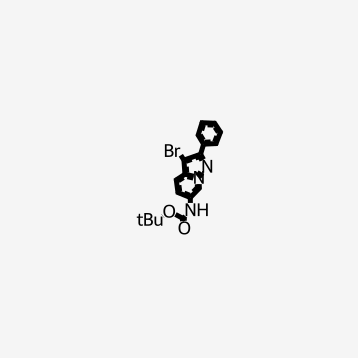 CC(C)(C)OC(=O)Nc1ccc2c(Br)c(-c3ccccc3)nn2c1